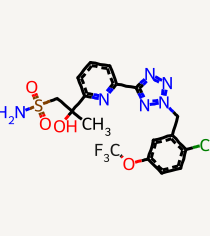 CC(O)(CS(N)(=O)=O)c1cccc(-c2nnn(Cc3cc(OC(F)(F)F)ccc3Cl)n2)n1